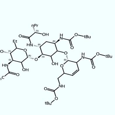 CCC[C@H](O)C(=O)N[C@@H]1C[C@@H](NC(=O)OC(C)(C)C)C(O[C@H]2OC(CNC(=O)OC(C)(C)C)C=CC2NC(=O)OC(C)(C)C)C(O)[C@H]1O[C@H]1OC(CC)[C@@H](O)[C@H](NC(=O)C(F)(F)F)C1O